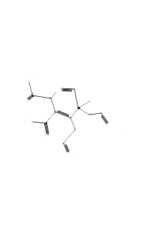 C=CCC1=C(C(=O)O)C(C(=O)O)N=CC1(C)CC=C